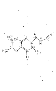 C#CC(C)Oc1c(Cl)cc(C(=O)NC#N)c(C)c1Cl